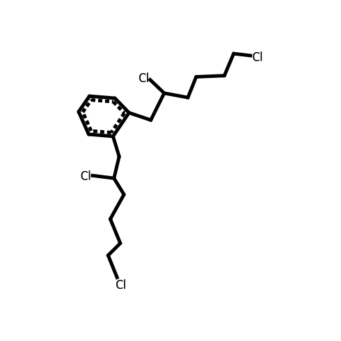 ClCCCCC(Cl)Cc1ccccc1CC(Cl)CCCCCl